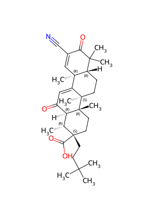 C[C@@H]1[C@H]2C(=O)C=C3[C@@]4(C)C=C(C#N)C(=O)C(C)(C)[C@@H]4CC[C@@]3(C)[C@]2(C)CC[C@]1(CCC(C)(C)C)C(=O)O